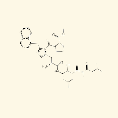 COC(=O)[C@@H]1CCCN1C(=O)n1c(C[C@H](N)C(=O)N[C@@H](CC(C)C)[C@@H](O)CC(=O)NC(=O)CC(C)C)cnc1Cc1cccc2ccccc12